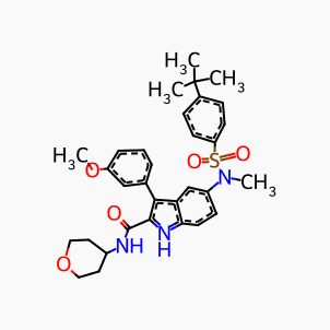 COc1cccc(-c2c(C(=O)NC3CCOCC3)[nH]c3ccc(N(C)S(=O)(=O)c4ccc(C(C)(C)C)cc4)cc23)c1